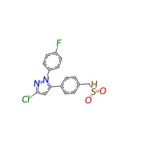 O=[SH](=O)Cc1ccc(-c2cc(Cl)nn2-c2ccc(F)cc2)cc1